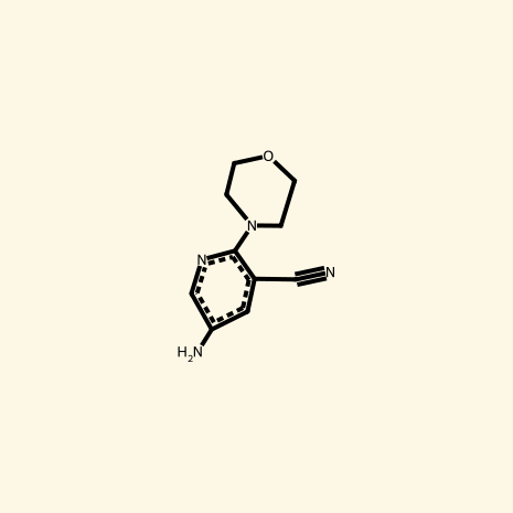 N#Cc1cc(N)cnc1N1CCOCC1